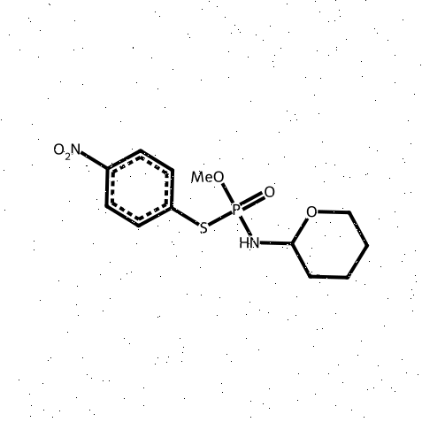 COP(=O)(NC1CCCCO1)Sc1ccc([N+](=O)[O-])cc1